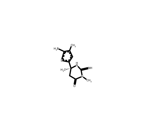 Bc1sc([C@]2(C)CC(=O)N(C)C(=N)N2)cc1C